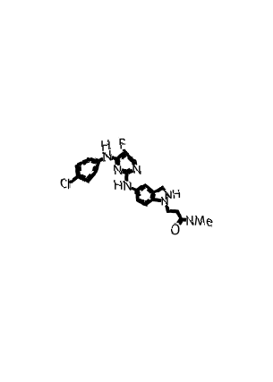 CNC(=O)CCN1NCc2cc(Nc3ncc(F)c(Nc4ccc(Cl)cc4)n3)ccc21